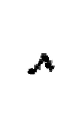 O=C(NCCCNc1nc(Nc2cccc([N+](=O)[O-])c2)ncc1CO)OCc1ccccc1